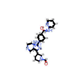 N[N+]12C=CN=CC1=C(C1CCCN(C=O)C1)N=C2c1ccc(C(=O)Nc2ccccn2)cc1